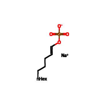 CCCCCCCCCC=COS(=O)(=O)[O-].[Na+]